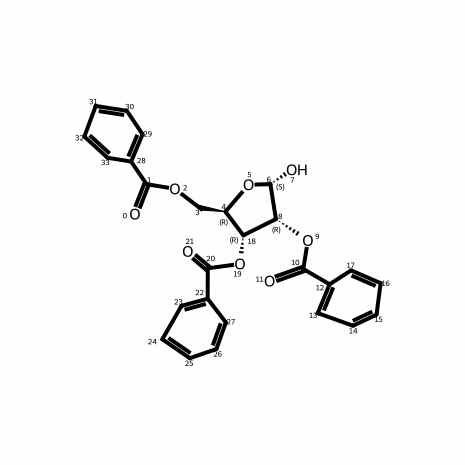 O=C(OC[C@H]1O[C@H](O)[C@H](OC(=O)c2ccccc2)[C@@H]1OC(=O)c1ccccc1)c1ccccc1